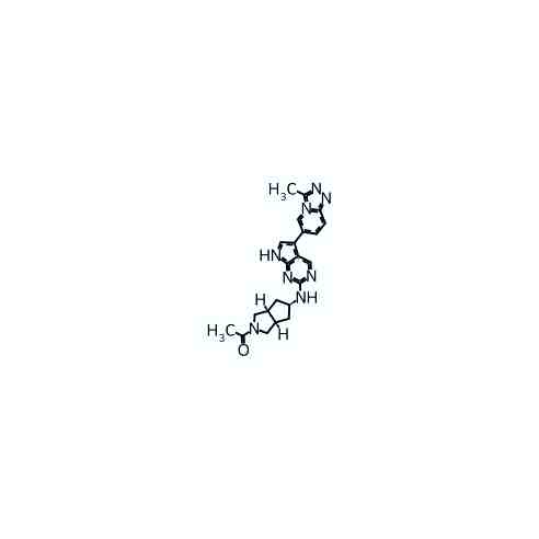 CC(=O)N1C[C@H]2C[C@H](Nc3ncc4c(-c5ccc6nnc(C)n6c5)c[nH]c4n3)C[C@H]2C1